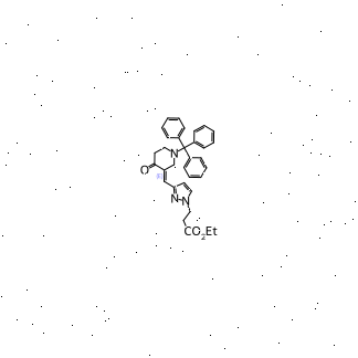 CCOC(=O)CCn1ccc(/C=C2\CN(C(c3ccccc3)(c3ccccc3)c3ccccc3)CCC2=O)n1